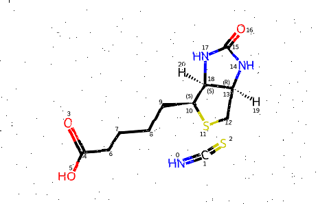 N=C=S.O=C(O)CCCC[C@@H]1SC[C@@H]2NC(=O)N[C@@H]21